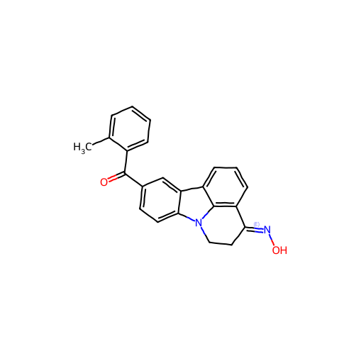 Cc1ccccc1C(=O)c1ccc2c(c1)c1cccc3c1n2CC/C3=N\O